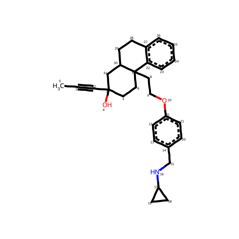 CC#CC1(O)CCC2(CCOc3ccc(CNC4CC4)cc3)c3cc[c]cc3CCC2C1